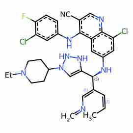 C=N/C=C(\C=C/C)[C@H](Nc1cc(Cl)c2ncc(C#N)c(Nc3ccc(F)c(Cl)c3)c2c1)C1=CN(C2CCN(CC)CC2)NN1